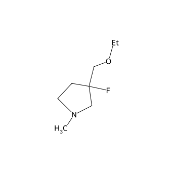 CCOCC1(F)CCN(C)C1